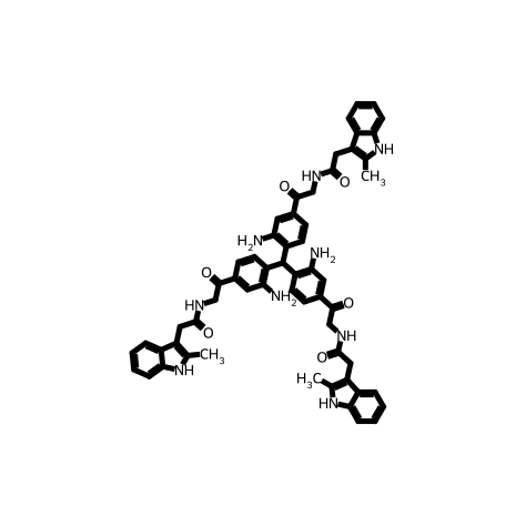 Cc1[nH]c2ccccc2c1CC(=O)NCC(=O)c1ccc(C(c2ccc(C(=O)CNC(=O)Cc3c(C)[nH]c4ccccc34)cc2N)c2ccc(C(=O)CNC(=O)Cc3c(C)[nH]c4ccccc34)cc2N)c(N)c1